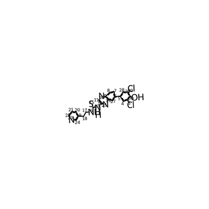 Oc1c(Cl)cc(-c2ccc3ncc(NC(=S)NCCc4cccnc4)nc3c2)cc1Cl